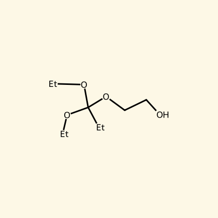 CCOC(CC)(OCC)OCCO